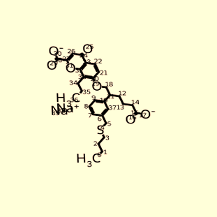 CCCCSCc1cccc(C(CCCC(=O)[O-])COc2ccc3c(=O)cc(C(=O)[O-])oc3c2CCC)c1.[Na+].[Na+]